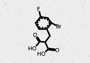 O=C(O)C(Cc1ccc(F)cc1Br)C(=O)O